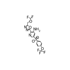 Nc1cc(S(=O)(=O)c2ccc(OC(F)(F)F)cc2)cnc1-c1nnc(COC(F)F)o1